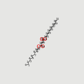 CCCCCCCCCCCCOC(=O)/C=C/C(=O)OCCCCCCCCCCCC